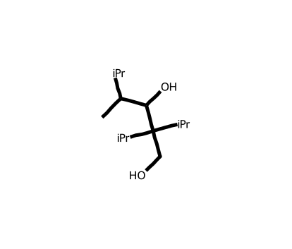 CC(C)C(C)C(O)C(CO)(C(C)C)C(C)C